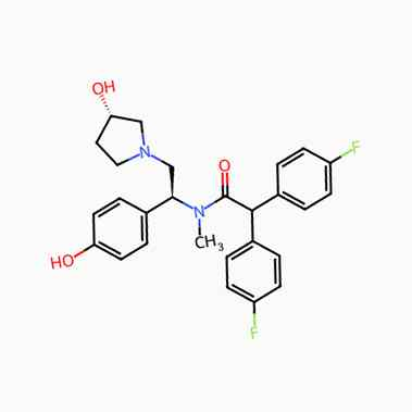 CN(C(=O)C(c1ccc(F)cc1)c1ccc(F)cc1)[C@H](CN1CC[C@H](O)C1)c1ccc(O)cc1